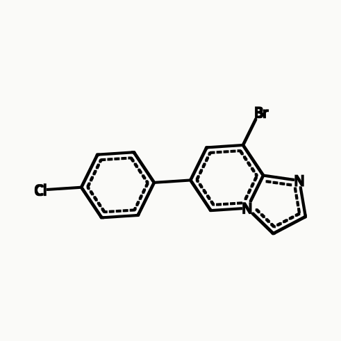 Clc1ccc(-c2cc(Br)c3nccn3c2)cc1